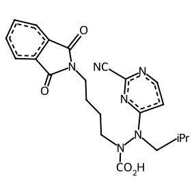 CC(C)CN(c1ccnc(C#N)n1)N(CCCCN1C(=O)c2ccccc2C1=O)C(=O)O